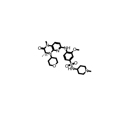 COc1cc(S(=O)(=O)NC2CCN(C)CC2)ccc1Nc1ccc2c(n1)N(C1CCOCC1)[C@H](C)C(=O)N2C